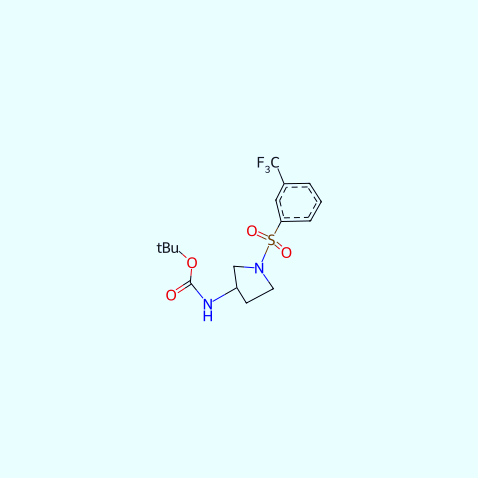 CC(C)(C)OC(=O)NC1CCN(S(=O)(=O)c2cccc(C(F)(F)F)c2)C1